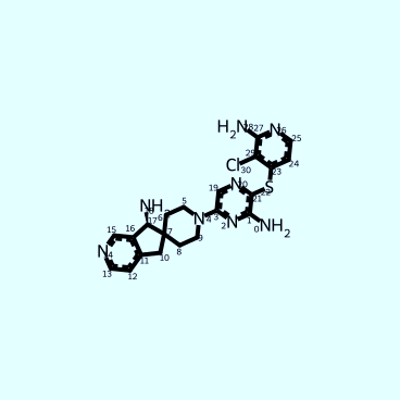 Nc1nc(N2CCC3(CC2)Cc2ccncc2[C@H]3N)cnc1Sc1ccnc(N)c1Cl